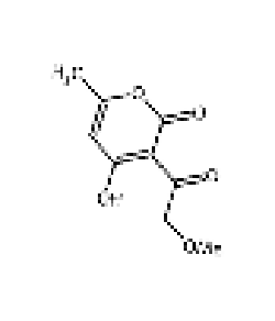 COCC(=O)c1c(O)cc(C)oc1=O